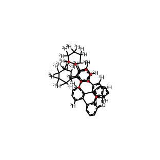 [2H]c1ccc(-c2nnnc(C3([2H])C([2H])C([2H])([2H])C([2H])([2H])C([2H])([2H])C3([2H])[2H])c2C2([2H])C([2H])C([2H])([2H])C([2H])([2H])C([2H])([2H])C2([2H])[2H])c(-c2c([2H])c([2H])c([2H])c([2H])c2-c2c([2H])c([2H])c([2H])c([2H])c2[2H])c1-c1cccc2oc3ccccc3c12